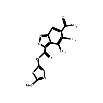 CSc1nnc(NC(=O)c2onc3cc(C(N)=O)c(C)c(C)c23)s1